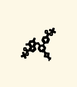 Cc1cc(C)c2c(ccn2C(=O)OC(C)(C)C)c1C[C@@H]1CCN(C2CC(F)C2)C[C@H]1c1ccc(C(=O)OC(C)(C)C)cc1